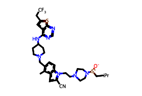 Cc1c(CN2CCC(Nc3ncnc4sc(CC(F)(F)F)cc34)CC2)ccc2c1cc(C#N)n2CCN1CCN([S+]([O-])CC(C)C)CC1